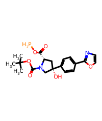 CC(C)(C)OC(=O)N1C[C@](O)(c2ccc(-c3ncco3)cc2)C[C@H]1C(=O)OP